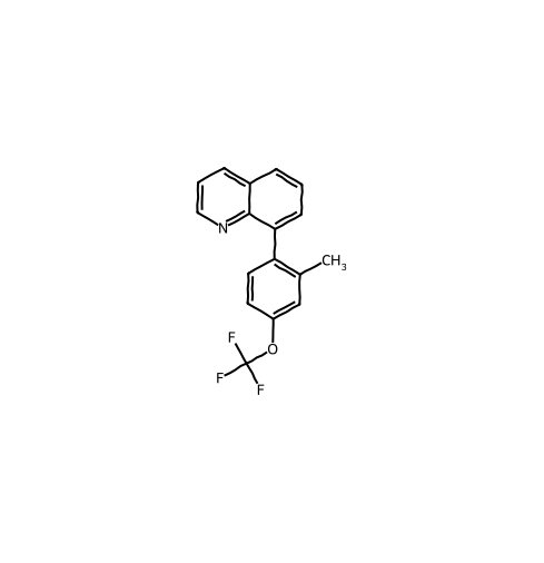 Cc1cc(OC(F)(F)F)ccc1-c1cccc2cccnc12